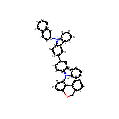 c1ccc2c(c1)COc1cccc(-n3c4ccccc4c4cc(-c5ccc6c(c5)c5ccccc5n6-c5ccc6ccccc6c5)ccc43)c1-2